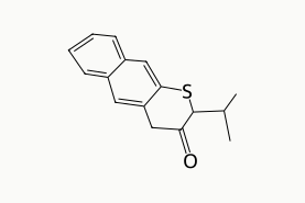 CC(C)C1Sc2cc3ccccc3cc2CC1=O